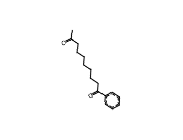 CC(=O)CCCCCCCC(=O)c1ccccc1